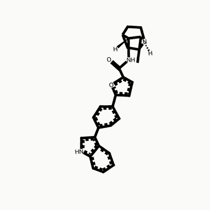 C[C@H]1[C@H](NC(=O)c2ccc(-c3ccc(-c4c[nH]c5ccccc45)cc3)o2)C2CCN1CC2